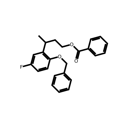 CC(CCOC(=O)c1ccccc1)c1cc(F)ccc1OCc1ccccc1